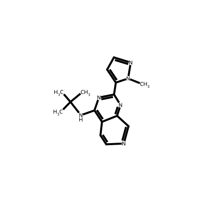 Cn1nccc1-c1nc(NC(C)(C)C)c2ccncc2n1